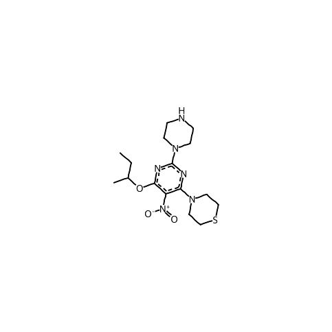 CCC(C)Oc1nc(N2CCNCC2)nc(N2CCSCC2)c1[N+](=O)[O-]